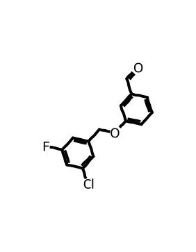 O=Cc1cccc(OCc2cc(F)cc(Cl)c2)c1